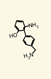 NCc1ccc(-c2c(N)cccc2O)cc1